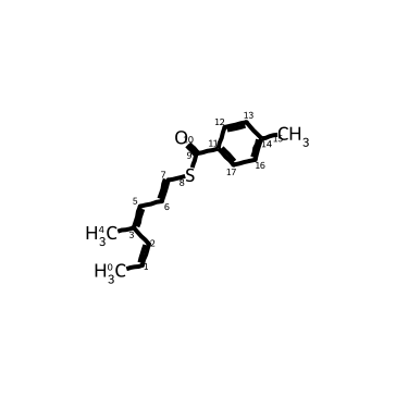 C\C=C/C(C)=C\C=C\SC(=O)c1ccc(C)cc1